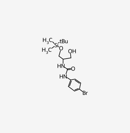 CC(C)(C)[Si](C)(C)OCC(CO)NC(=O)Nc1ccc(Br)cc1